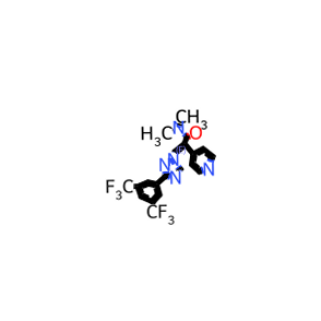 CN(C)C(=O)/C(=C/n1cnc(-c2cc(C(F)(F)F)cc(C(F)(F)F)c2)n1)c1ccncc1